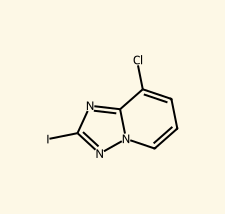 Clc1cccn2nc(I)nc12